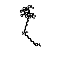 CC(=O)/C=C(/C)[O-].CC(=O)/C=C(/C)[O-].CCCCCCC[CH2][Sn+2][CH2]CCCCCCC